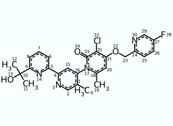 Cc1cnc(-c2cccc(C(C)(C)O)n2)cc1-n1c(C)cc(OCc2ccc(F)cn2)c(Cl)c1=O